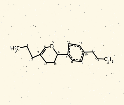 CCCC1=COC(c2ccc(CCC)cc2)CC1